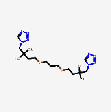 CC(C)(CCSCCCSCCC(C)(C)Cn1cnnn1)Cn1cnnn1